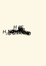 COc1cc(C(N)=O)ccc1NCC#Cc1cc2c(N[C@H]3CC[C@H](N4CC5(COC5)C4)CC3)cccc2n1CC(F)(F)F